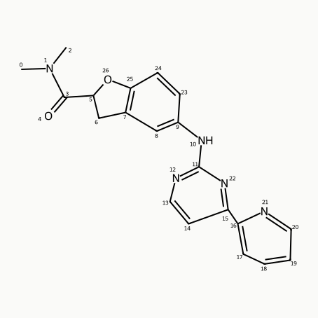 CN(C)C(=O)C1Cc2cc(Nc3nccc(-c4ccccn4)n3)ccc2O1